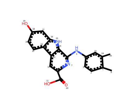 Cc1ccc(Nc2nc(C(=O)O)cc3c2[nH]c2cc(O)ccc23)cc1C